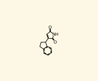 O=C1C=C(C2CCc3ccccc32)C(=O)N1